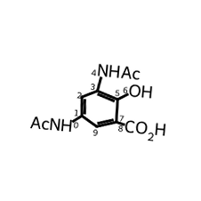 CC(=O)Nc1cc(NC(C)=O)c(O)c(C(=O)O)c1